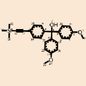 COc1ccc(C(O)(c2ccc(C#C[Si](C)(C)C)cc2)c2ccc(OC)cc2)cc1